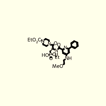 CCOC(=O)N1CCN(C(=O)[C@H](CP(=O)(O)OCC)NC(=O)c2cc(NCCOC)cc(-c3ccccc3)n2)CC1